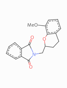 COc1cccc2c1OC(CN1C(=O)c3ccccc3C1=O)CC2